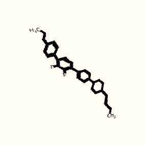 CCCCC1CCC(c2ccc(-c3ccc(-c4ccc(CCC)cc4)c(F)c3F)cc2)CC1